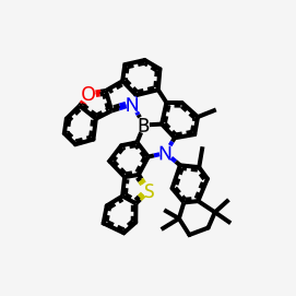 Cc1cc2c3c(c1)N(c1cc4c(cc1C)C(C)(C)CCC4(C)C)c1c(ccc4c1sc1ccccc14)B3n1c3c-2cccc3c2oc3ccccc3c21